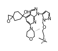 C[C@@H]1COCCN1c1cc(C2(O)CCC3(CC2)CO3)c2cnn(-c3ccnn3COCC[Si](C)(C)C)c2n1